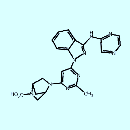 Cc1nc(N2CC3CC2CN3C(=O)O)cc(-n2nc(Nc3cnccn3)c3ccccc32)n1